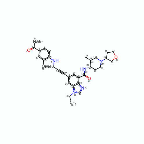 CNC(=O)c1ccc(NCC#Cc2cc(C(=O)N[C@H]3CCN(C4CCOC4)C[C@@H]3C)c3ncn(CC(F)(F)F)c3c2)c(OC)c1